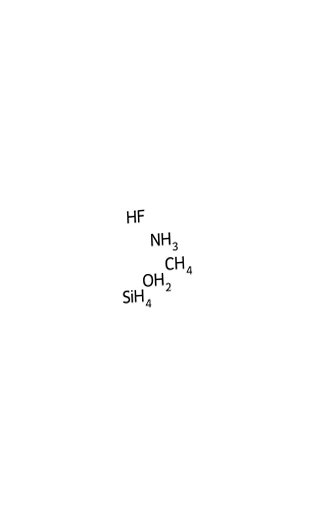 C.F.N.O.[SiH4]